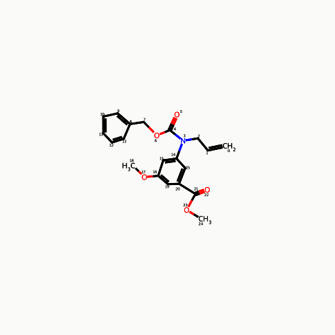 C=CCN(C(=O)OCc1ccccc1)c1cc(OC)cc(C(=O)OC)c1